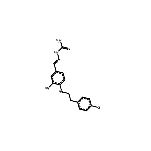 NC(=S)N/N=C/c1ccc(NCCc2ccc(Cl)cc2)c(N=O)c1